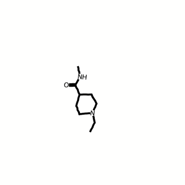 CCN1CCC(C(=O)NC)CC1